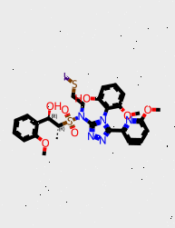 COc1cc#cc(-c2nnc(N(CCSI)S(=O)(=O)[C@H](C)[C@H](O)c3ccccc3OC)n2-c2c(O)cccc2OC)n1